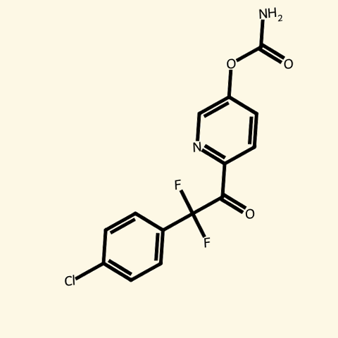 NC(=O)Oc1ccc(C(=O)C(F)(F)c2ccc(Cl)cc2)nc1